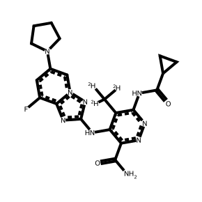 [2H]C([2H])([2H])c1c(NC(=O)C2CC2)nnc(C(N)=O)c1Nc1nc2c(F)cc(N3CCCC3)cn2n1